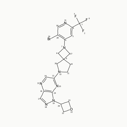 FC(F)(F)c1cc(N2CC3(CCN(c4cnc5cnn(C6COC6)c5n4)C3)C2)c(Br)cn1